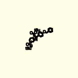 CC(C)(C)OC(=O)N1CCc2c(nc(-c3ccc(OCc4ccccc4)cc3)n2C(=O)OC(C)(C)C)C1